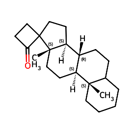 C[C@]12CCCCC1CC[C@@H]1[C@@H]2CC[C@@]2(C)[C@H]1CCC21CCC1=O